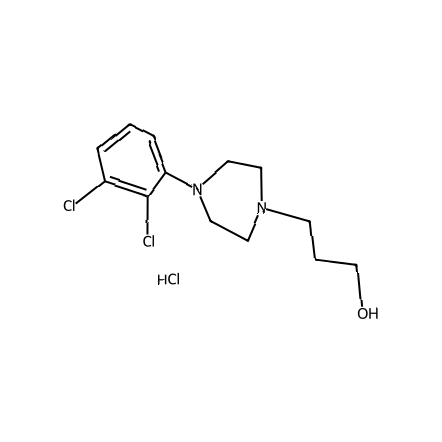 Cl.OCCCN1CCN(c2cccc(Cl)c2Cl)CC1